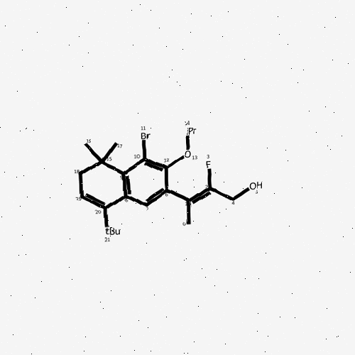 CC(=C(F)CO)c1cc2c(c(Br)c1OC(C)C)C(C)(C)CC=C2C(C)(C)C